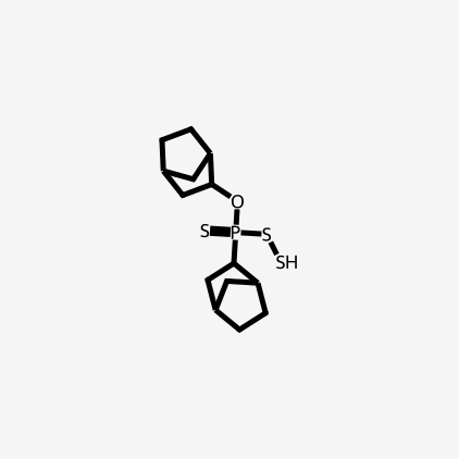 S=P(OC1CC2CCC1C2)(SS)C1CC2CCC1C2